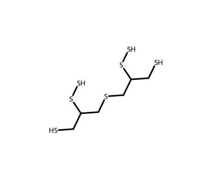 SCC(CSCC(CS)SS)SS